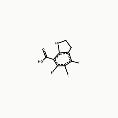 O=C(O)c1c(F)c(F)c(F)c2c1BCC2